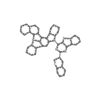 c1ccc2cc(-c3nc(-n4c5ccccc5c5c6c7ccc8ccccc8c7n7c8ccccc8c(cc54)c67)c4sc5ccccc5c4n3)ccc2c1